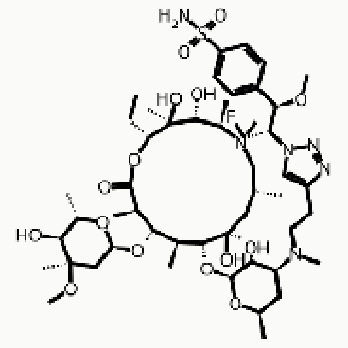 CC[C@H]1OC(=O)[C@H](C)[C@@H](O[C@H]2C[C@@](C)(OC)[C@@H](O)[C@H](C)O2)[C@H](C)[C@@H](O[C@@H]2O[C@H](C)C[C@H](N(C)CCc3cn([C@H](CF)[C@H](OC)c4ccc(S(N)(=O)=O)cc4)nn3)[C@H]2O)[C@](C)(O)C[C@@H](C)CN(C)[C@H](C)[C@@H](O)[C@]1(C)O